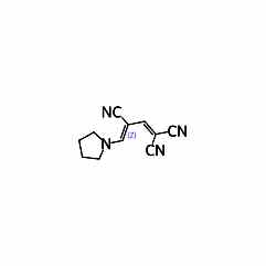 N#CC(C#N)=C/C(C#N)=C/N1CCCC1